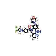 O=C(C1CCC(N2CC(F)(F)C2)C1)N1Cc2cccnc2Nc2ccc(N3CCOCC3)cc21